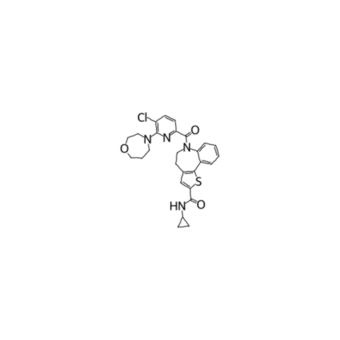 O=C(NC1CC1)c1cc2c(s1)-c1ccccc1N(C(=O)c1ccc(Cl)c(N3CCCOCC3)n1)CC2